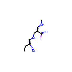 CC/C(=C/NC/C(=C/NC)C(=N)I)N=N